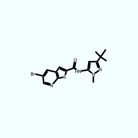 Cn1nc(C(C)(C)C)cc1NC(=O)c1cc2cc(Br)cnc2s1